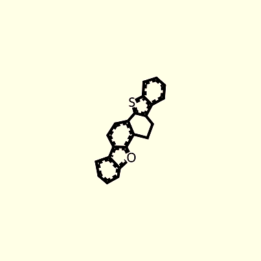 c1ccc2c(c1)oc1c3c(ccc12)-c1sc2ccccc2c1CC3